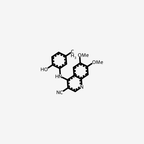 COc1cc2ncc(C#N)c(Nc3cc(C)ccc3O)c2cc1OC